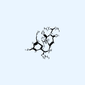 CC(C)n1c(=O)cc(N[C@@H](C)c2cc(F)cc(F)c2)[nH]c1=O